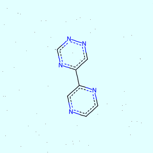 [c]1nncc(-c2cnccn2)n1